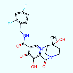 CC1(O)CCN2CC1n1cc(C(=O)NCc3ccc(F)cc3F)c(=O)c(O)c1C2=O